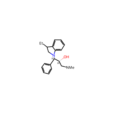 CCC1CN([C@@H](c2ccccc2)[C@H](O)CNC)c2ccccc21